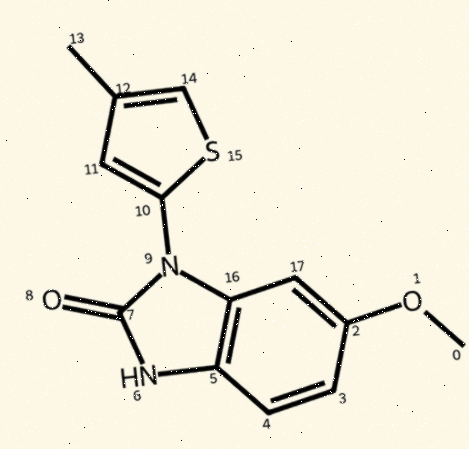 COc1ccc2[nH]c(=O)n(-c3cc(C)cs3)c2c1